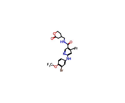 CC(C)c1cc(Nc2ccc(OC(F)(F)F)c(Br)c2)ncc1C(=O)NCC1CCOC(=O)C1